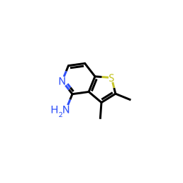 Cc1sc2ccnc(N)c2c1C